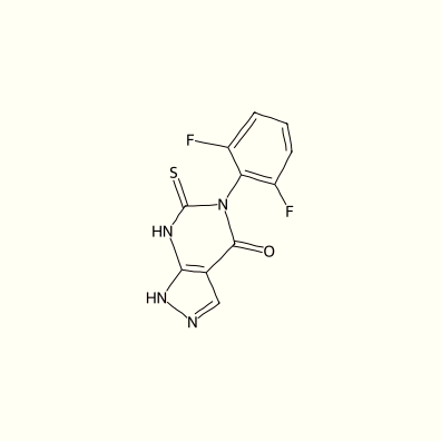 O=c1c2cn[nH]c2[nH]c(=S)n1-c1c(F)cccc1F